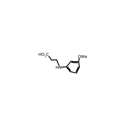 COc1cccc(NCCC(=O)O)c1